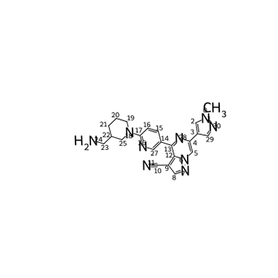 Cn1cc(-c2cn3ncc(C#N)c3c(-c3ccc(N4CCCC(CN)C4)nc3)n2)cn1